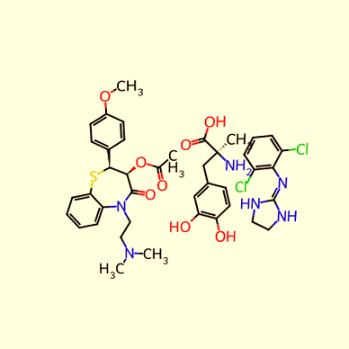 COc1ccc([C@@H]2Sc3ccccc3N(CCN(C)C)C(=O)[C@@H]2OC(C)=O)cc1.C[C@](N)(Cc1ccc(O)c(O)c1)C(=O)O.Clc1cccc(Cl)c1N=C1NCCN1